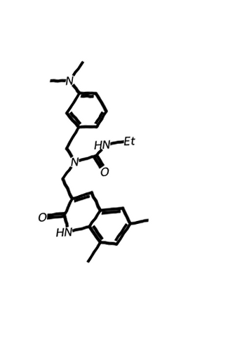 CCNC(=O)N(Cc1cccc(N(C)C)c1)Cc1cc2cc(C)cc(C)c2[nH]c1=O